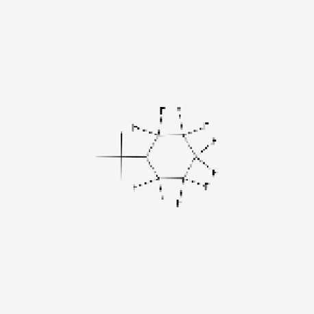 CC(C)(C)C1C(F)(F)C(F)(F)C(F)(F)C(F)(F)C1(F)F